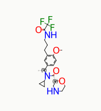 COc1ccc([C@@H](C)N(C(=O)[C@H]2CNCCO2)C2CC2)cc1CCCNC(=O)C(F)(F)F